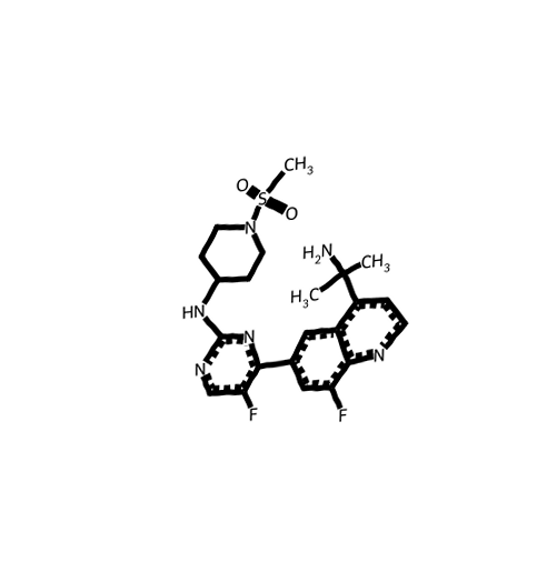 CC(C)(N)c1ccnc2c(F)cc(-c3nc(NC4CCN(S(C)(=O)=O)CC4)ncc3F)cc12